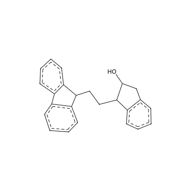 OC1Cc2ccccc2C1CCC1c2ccccc2-c2ccccc21